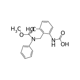 COC(=O)N(Cc1c(C)cccc1NC(=O)O)c1ccccc1